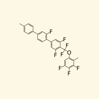 Cc1ccc(-c2ccc(-c3cc(F)c(C(F)(F)Oc4cc(F)c(F)c(F)c4C)c(F)c3)c(F)c2)cc1